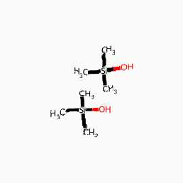 C[Si](C)(C)O.C[Si](C)(C)O